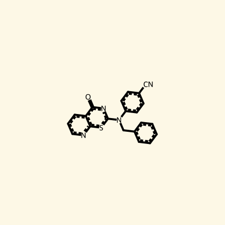 N#Cc1ccc(N(Cc2ccccc2)c2nc(=O)c3cccnc3s2)cc1